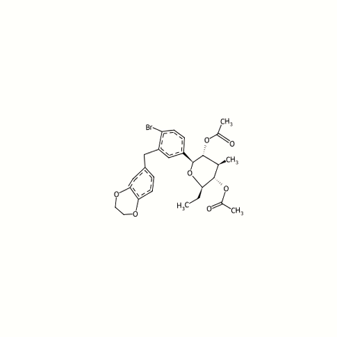 CC[C@H]1O[C@@H](c2ccc(Br)c(Cc3ccc4c(c3)OCCO4)c2)[C@H](OC(C)=O)[C@@H](C)[C@@H]1OC(C)=O